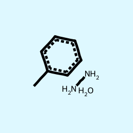 Cc1ccccc1.NN.O